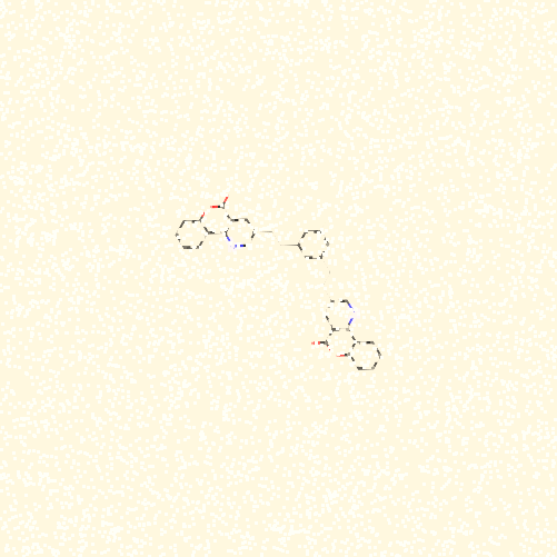 O=c1oc2ccccc2c2ncc(CCc3cc(Cl)cc(CCc4cnc5c(c4)c(=O)oc4ccccc45)c3)cc12